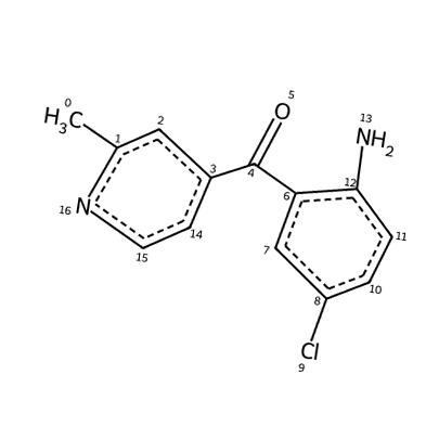 Cc1cc(C(=O)c2cc(Cl)ccc2N)ccn1